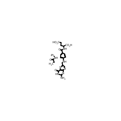 C=CC(=O)NC(C)C.Nc1nc2ncc(CNc3ccc(C(=O)NC(CCC(=O)O)C(=O)O)cc3)nc2c(=O)[nH]1